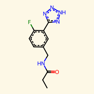 CCC(=O)NCc1ccc(F)c(-c2nn[nH]n2)c1